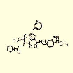 CN(C)[C@H](CCC(=O)N1CCCC1)C(=O)N1C[C@H](Cc2cccnc2)C[C@H]1C(=O)NCc1ccc2c(cnn2C)c1